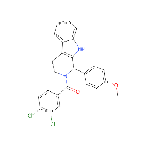 COc1ccc(C2c3[nH]c4ccccc4c3CCN2C(=O)c2ccc(Cl)c(Cl)c2)cc1